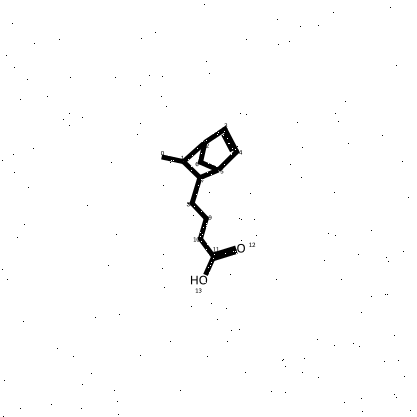 CC1C2C=CC(C2)C1CCCC(=O)O